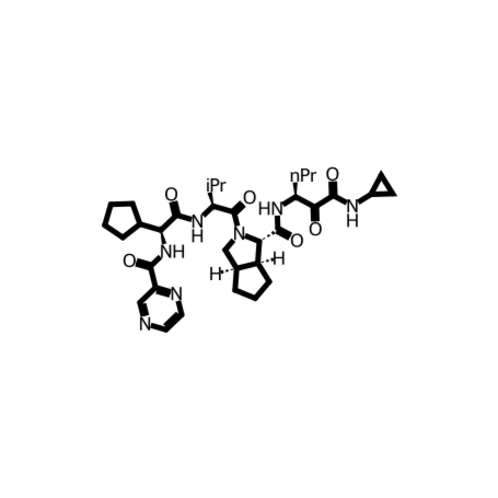 CCC[C@H](NC(=O)[C@@H]1[C@H]2CCC[C@H]2CN1C(=O)[C@@H](NC(=O)[C@@H](NC(=O)c1cnccn1)C1CCCC1)C(C)C)C(=O)C(=O)NC1CC1